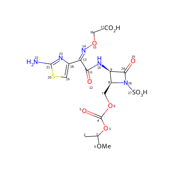 COC(C)OC(=O)OC[C@H]1[C@@H](NC(=O)/C(=N\OCC(=O)O)c2csc(N)n2)C(=O)N1S(=O)(=O)O